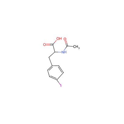 CC(=O)NC(Cc1ccc(I)cc1)C(=O)O